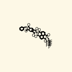 O=C1c2ccc3c4c(ccc(c24)C(=O)N1CC(F)(F)C(F)(F)C(F)(F)F)C(=O)N(N1C(=O)C2C4C=CC(C5C(=O)N(Cc6ccccc6)C(=O)C45)C2C1=O)C3=O